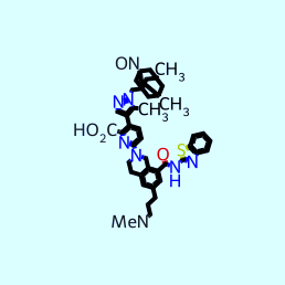 CNCCCc1cc2c(c(C(=O)Nc3nc4ccccc4s3)c1)CN(c1ccc(-c3cnn(CC45CC6(C)CC(C)(C4)CC(N=O)(C6)C5)c3C)c(C(=O)O)n1)CC2